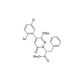 COC(=O)C(Cc1ccccc1)n1nc(OC)c(-c2cc(Cl)ccc2C(C)=O)cc1=O